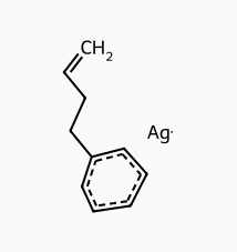 C=CCCc1ccccc1.[Ag]